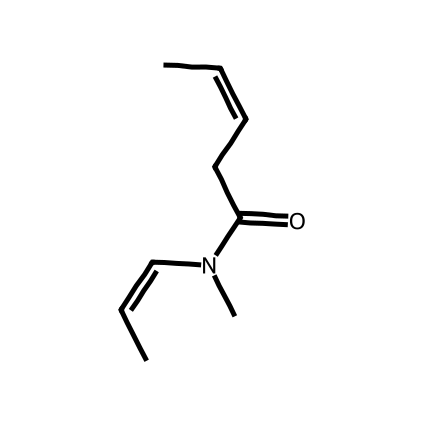 C/C=C\CC(=O)N(C)/C=C\C